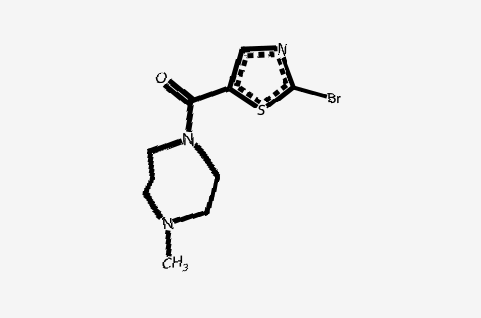 CN1CCN(C(=O)c2cnc(Br)s2)CC1